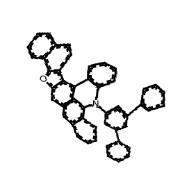 c1ccc(-c2cc(-c3ccccc3)cc(N(c3ccccc3-c3cccc4oc5c6ccccc6ccc5c34)c3cccc4ccccc34)c2)cc1